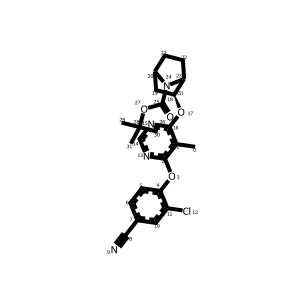 Cc1c(Oc2ccc(C#N)cc2Cl)ncnc1O[C@H]1CC2CCC1N2C(=O)OC(C)(C)C